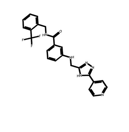 O=C(NCc1ccccc1C(F)(F)F)c1cccc(NCc2nnc(-c3ccncc3)[nH]2)c1